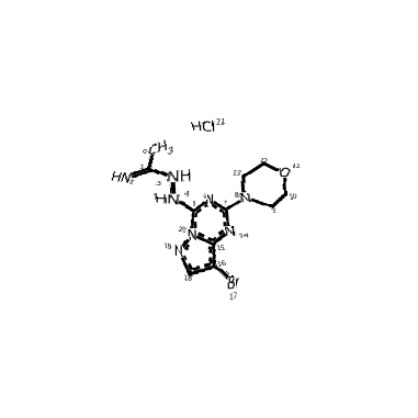 CC(=N)NNc1nc(N2CCOCC2)nc2c(Br)cnn12.Cl